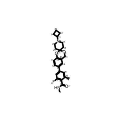 CNC(=O)c1c(F)cc(-c2ccc3c(c2)COC2(CCN(C4CCC4)CC2)O3)cc1F